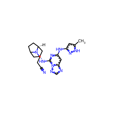 Cc1cc(Nc2cc3ncnn3c(N[C@@H]3CC4CC[C@@H](C3)N4CCC#N)n2)n[nH]1